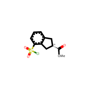 COC(=O)[C@H]1Cc2cccc(S(=O)(=O)Cl)c2C1